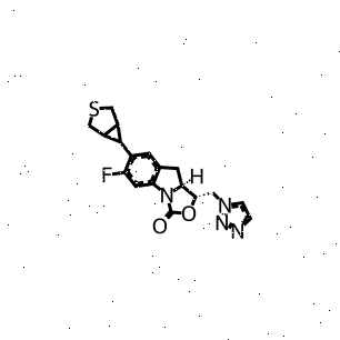 O=C1O[C@@H](Cn2ccnn2)[C@@H]2Cc3cc(C4C5CSCC54)c(F)cc3N12